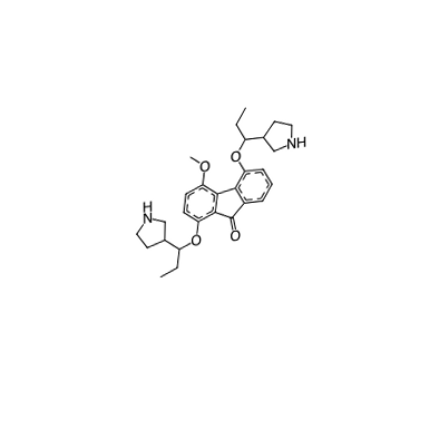 CCC(Oc1ccc(OC)c2c1C(=O)c1cccc(OC(CC)C3CCNC3)c1-2)C1CCNC1